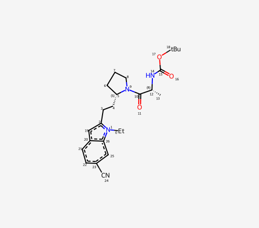 CCn1c(CC[C@@H]2CCCN2C(=O)[C@@H](C)NC(=O)OC(C)(C)C)cc2ccc(C#N)cc21